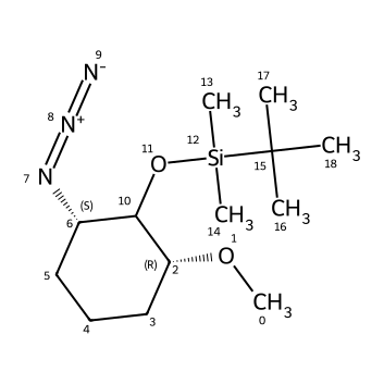 CO[C@@H]1CCC[C@H](N=[N+]=[N-])C1O[Si](C)(C)C(C)(C)C